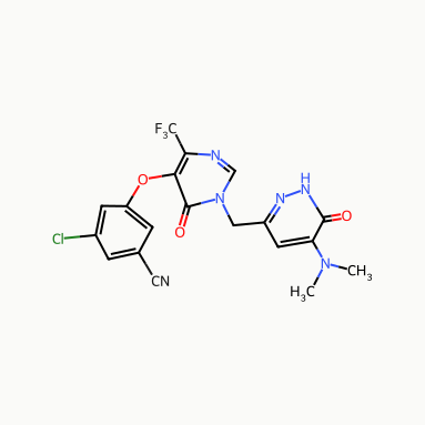 CN(C)c1cc(Cn2cnc(C(F)(F)F)c(Oc3cc(Cl)cc(C#N)c3)c2=O)n[nH]c1=O